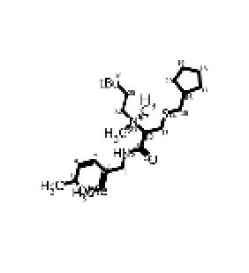 C/C=C(\C=C/C(C)OC)CNC(=O)C(CSCC1CCCC1)[N+](C)(C)CCC(C)(C)C